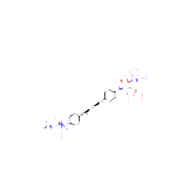 C[C@@H](O)[C@H](NC(=O)c1ccc(C#CC#Cc2ccc(NC(=O)CN(C)C)cc2)cc1)C(=O)NO